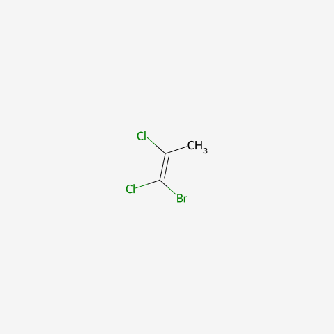 C/C(Cl)=C(/Cl)Br